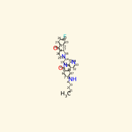 CCCCCNc1ccc(C(=O)N(CCN2CCC(C(=O)c3ccc(F)cc3)CC2)c2cccnc2)cc1